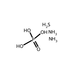 N.N.O=P(O)(O)O.S